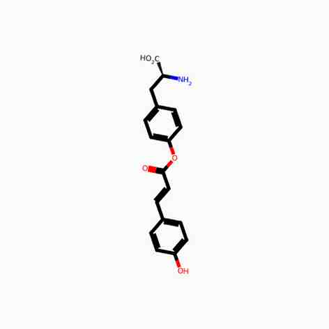 N[C@@H](Cc1ccc(OC(=O)/C=C/c2ccc(O)cc2)cc1)C(=O)O